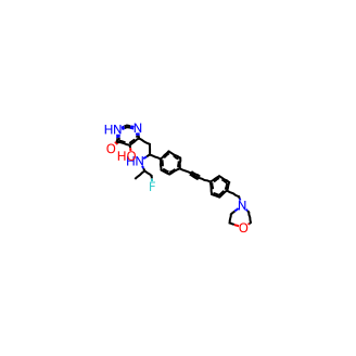 CC(CF)NC(Cc1nc[nH]c(=O)c1O)c1ccc(C#Cc2ccc(CN3CCOCC3)cc2)cc1